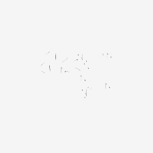 Cc1cccc2cccc(-c3ncc4c(N5CCN(C(=O)O)[C@@H](CC#N)C5)nc(OC[C@H]5CCCN5C)nc4c3F)c12